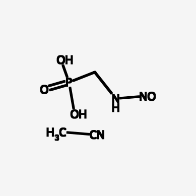 CC#N.O=NNCP(=O)(O)O